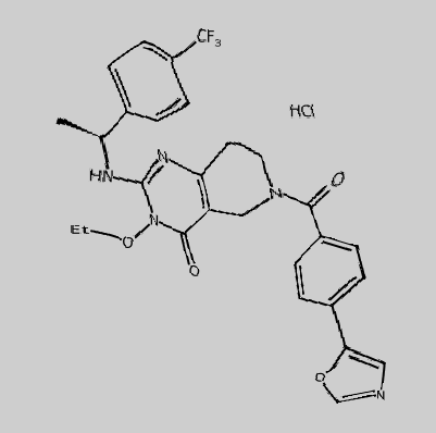 CCOn1c(N[C@@H](C)c2ccc(C(F)(F)F)cc2)nc2c(c1=O)CN(C(=O)c1ccc(-c3cnco3)cc1)CC2.Cl